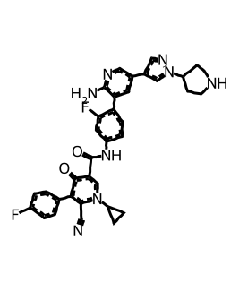 N#Cc1c(-c2ccc(F)cc2)c(=O)c(C(=O)Nc2ccc(-c3cc(-c4cnn(C5CCNCC5)c4)cnc3N)c(F)c2)cn1C1CC1